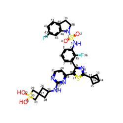 O=S(=O)(Nc1cccc(-c2nc(C34CC(C3)C4)sc2-c2ccnc(NC3CC4(C3)CS(O)(O)C4)n2)c1F)N1CCc2ccc(F)cc21